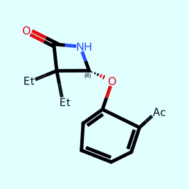 CCC1(CC)C(=O)N[C@@H]1Oc1ccccc1C(C)=O